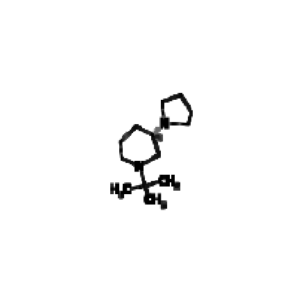 CC(C)(C)N1CCC[C@H](N2CCCC2)C1